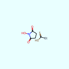 CCC(=S)S.O=C1CCC(=O)N1O